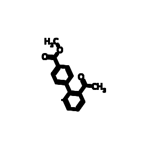 COC(=O)c1ccc(-c2[c]cccc2C(C)=O)cc1